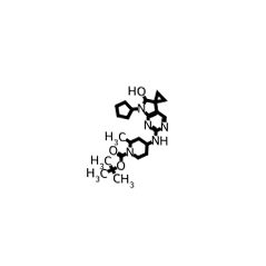 CC1CC(Nc2ncc3c(n2)N(C2CCCC2)C(O)C32CC2)CCN1C(=O)OC(C)(C)C